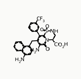 Nc1c(Cc2ccc(N)c3ccccc23)c(-c2cccc(C(F)(F)F)c2)c2n(c1=O)C(C(=O)O)CNS2(=O)=O